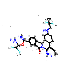 CN/C=C(/C1CCC(NCC(F)(F)C(F)(F)F)CC1)C(N)N1Cc2ccc(C(=N)OC(N)C(F)F)cc2C1=O